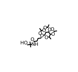 CC(=O)OC1C(C)OC(OCCCC(=O)NC(C)(C)CO)C(OC(C)=O)C1OC(C)=O